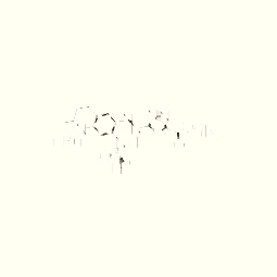 CCCCOC(=O)c1nnc(N=Nc2cc3c(cc2N[SH](=O)=O)N(CCCC)C(C)CC3)s1